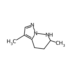 Cc1cnn2c1CCC(C)N2